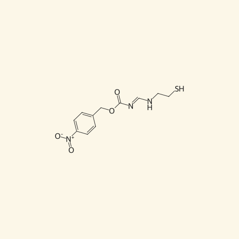 O=C(N=CNCCS)OCc1ccc([N+](=O)[O-])cc1